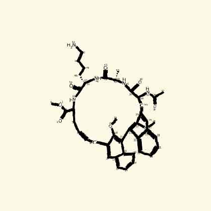 COC(=O)C1CC=CCc2cc3ccccc3c(c2OC)-c2c(OC)c(cc3ccccc23)CC(NC(C)=O)C(=O)N[C@@H](C)C(=O)N[C@@H](CCCCN)C(=O)N1